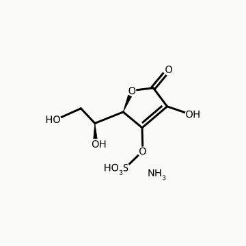 N.O=C1O[C@H]([C@@H](O)CO)C(OS(=O)(=O)O)=C1O